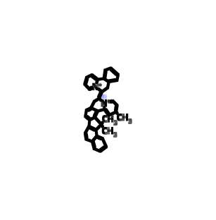 Cc1cc[n+]2c(c1)-c1c(ccc3c1C(C)(C)c1c-3ccc3ccccc13)C/C2=C1/Cc2ccccc2-c2cccc[n+]21